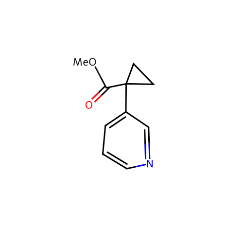 COC(=O)C1(c2cccnc2)CC1